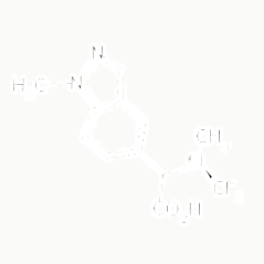 C[C@H](C(C(=O)O)c1ccc2c(cnn2C)c1)C(F)(F)F